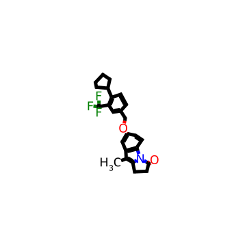 Cc1c2n(c3ccc(OCc4ccc(C5CCCC5)c(C(F)(F)F)c4)cc13)C(=O)CC2